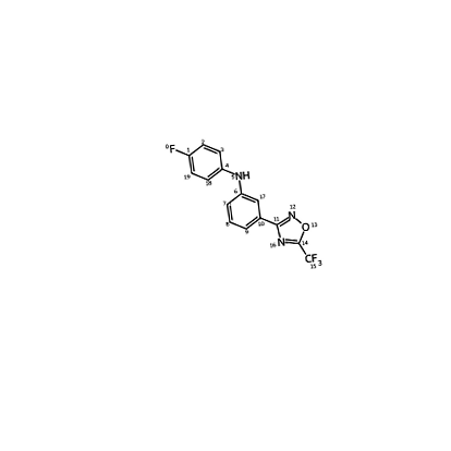 Fc1ccc(Nc2[c]ccc(-c3noc(C(F)(F)F)n3)c2)cc1